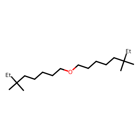 CCC(C)(C)CCCCCOCCCCCC(C)(C)CC